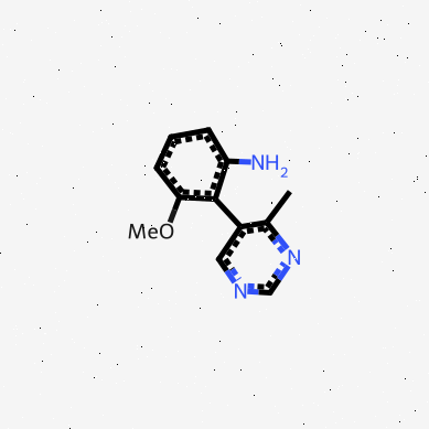 COc1cccc(N)c1-c1cncnc1C